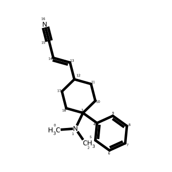 CN(C)C1(c2ccccc2)CCC(/C=C/C#N)CC1